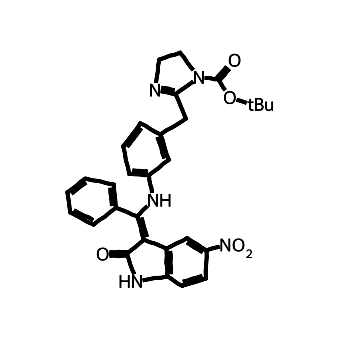 CC(C)(C)OC(=O)N1CCN=C1Cc1cccc(NC(=C2C(=O)Nc3ccc([N+](=O)[O-])cc32)c2ccccc2)c1